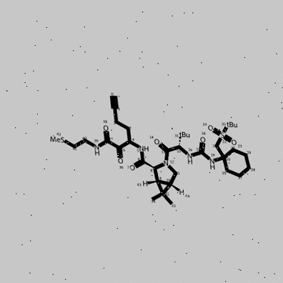 C#CCCC(NC(=O)[C@@H]1[C@@H]2[C@H](CN1C(=O)[C@@H](NC(=O)NC1(CS(=O)(=O)C(C)(C)C)CCCCC1)C(C)(C)C)C2(C)C)C(=O)C(=O)NCCSC